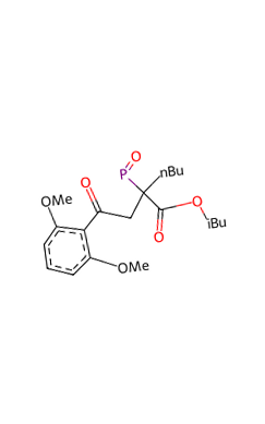 CCCCC(CC(=O)c1c(OC)cccc1OC)(P=O)C(=O)OC(C)CC